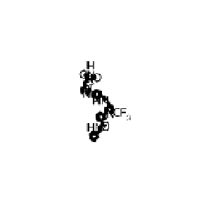 O=C1NC(=O)C(=Cc2ccnc(N3CCC(CNCc4cc(-c5cccc(C(=O)NCc6ccccc6)c5)nc(C(F)(F)F)c4)CC3)n2)S1